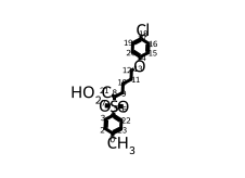 Cc1ccc(S(=O)(=O)C(CCCCOc2ccc(Cl)cc2)C(=O)O)cc1